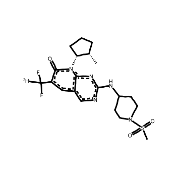 [2H]C(F)(F)c1cc2cnc(NC3CCN(S(C)(=O)=O)CC3)nc2n([C@@H]2CCC[C@@H]2C)c1=O